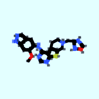 COc1cc2[nH]ncc2cc1Nc1ncnc2sc3c(c12)CCN(Cc1ncon1)C3